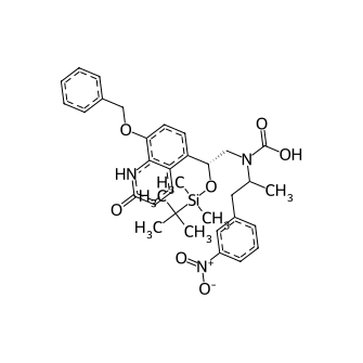 CC(Cc1cccc([N+](=O)[O-])c1)N(C[C@H](O[Si](C)(C)C(C)(C)C)c1ccc(OCc2ccccc2)c2[nH]c(=O)ccc12)C(=O)O